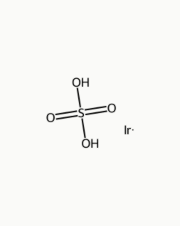 O=S(=O)(O)O.[Ir]